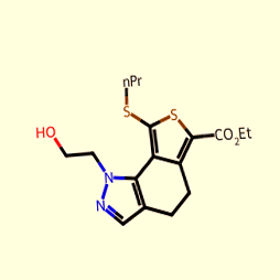 CCCSc1sc(C(=O)OCC)c2c1-c1c(cnn1CCO)CC2